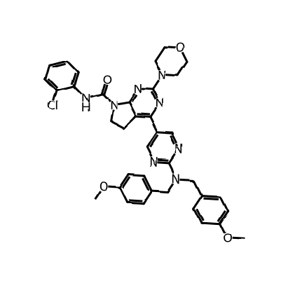 COc1ccc(CN(Cc2ccc(OC)cc2)c2ncc(-c3nc(N4CCOCC4)nc4c3CCN4C(=O)Nc3ccccc3Cl)cn2)cc1